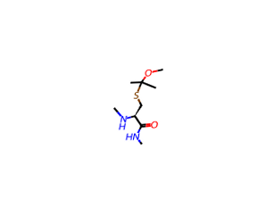 CNC(=O)[C@H](CSC(C)(C)OC)NC